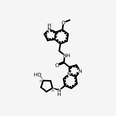 COc1ccc(CNC(=O)c2cnc3ccc(N[C@H]4CC[C@H](O)C4)cn23)c2cc[nH]c12